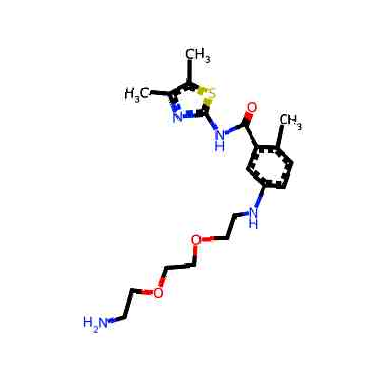 Cc1ccc(NCCOCCOCCN)cc1C(=O)Nc1nc(C)c(C)s1